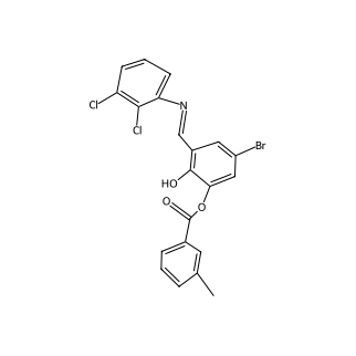 Cc1cccc(C(=O)Oc2cc(Br)cc(C=Nc3cccc(Cl)c3Cl)c2O)c1